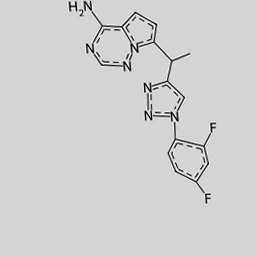 CC(c1cn(-c2ccc(F)cc2F)nn1)c1ccc2c(N)ncnn12